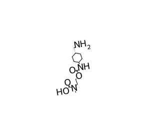 CN(CCOC(=O)N[C@H]1CC[C@H](CN)CC1)C(=O)O